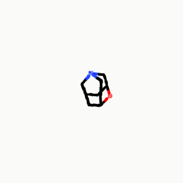 C1C2CC3CN(C2)CC1O3